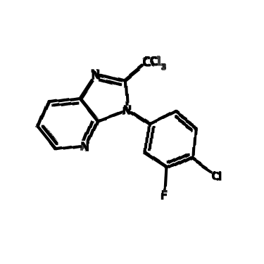 Fc1cc(-n2c(C(Cl)(Cl)Cl)nc3cccnc32)ccc1Cl